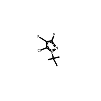 CC(C)(C)n1nc(F)c(F)c1Cl